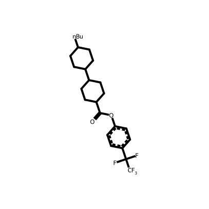 CCCCC1CCC(C2CCC(C(=O)Oc3ccc(C(F)(F)C(F)(F)F)cc3)CC2)CC1